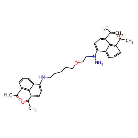 C=C(C)c1ccc(N(N)CCOCCCCCNc2ccc(C(C)=O)c3c(C(C)=O)cccc23)c2cccc(C(C)=O)c12